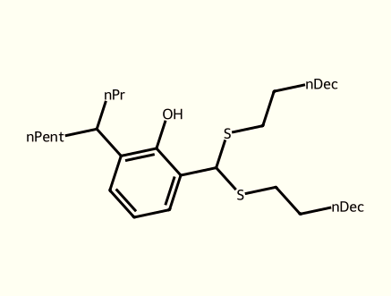 CCCCCCCCCCCCSC(SCCCCCCCCCCCC)c1cccc(C(CCC)CCCCC)c1O